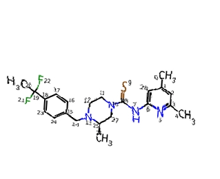 Cc1cc(C)nc(NC(=S)N2CCN(Cc3ccc(C(C)(F)F)cc3)[C@H](C)C2)c1